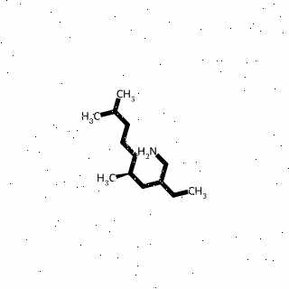 CCC(CN)C[C@@H](C)CCCC(C)C